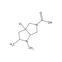 CC1CC2(Cl)CN(C(=O)O)CC2N1C